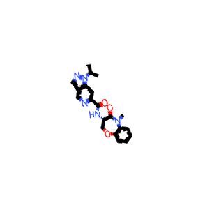 CC(C)n1ncc2cnc(C(=O)N[C@H]3COc4ccccc4N(C)C3=O)cc21